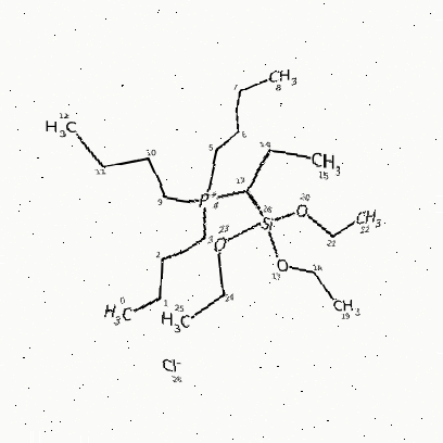 CCCC[P+](CCCC)(CCCC)C(CC)[Si](OCC)(OCC)OCC.[Cl-]